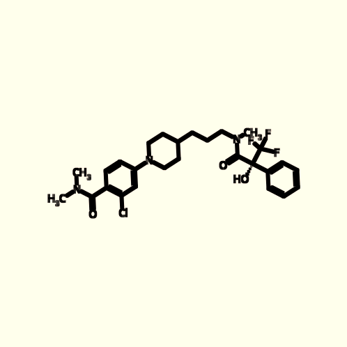 CN(C)C(=O)c1ccc(N2CCC(CCCN(C)C(=O)[C@](O)(c3ccccc3)C(F)(F)F)CC2)cc1Cl